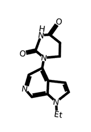 CCn1ccc2c(N3CCC(=O)NC3=O)cncc21